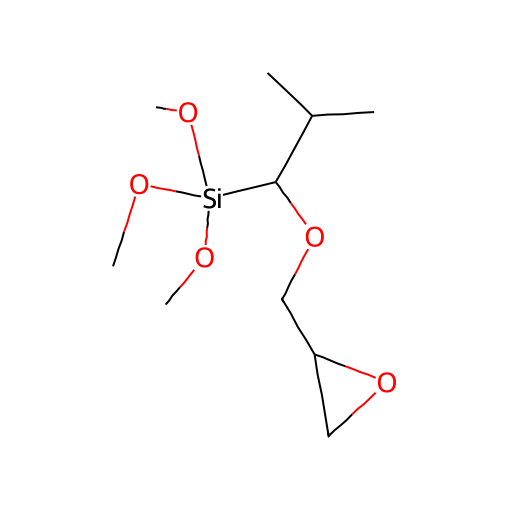 CO[Si](OC)(OC)C(OCC1CO1)C(C)C